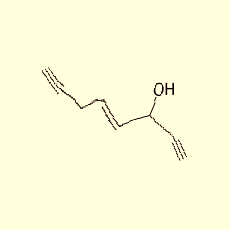 C#CCC=CC(O)C#C